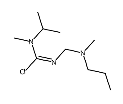 CCCN(C)C/N=C(/Cl)N(C)C(C)C